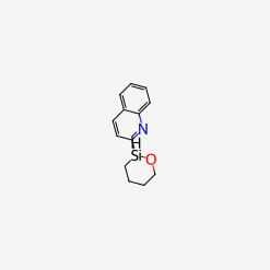 c1ccc2nc([SiH]3CCCCO3)ccc2c1